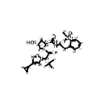 CC(C)(C)[C@@H](C(=O)N1C[C@H](O)C[C@H]1C(=O)NCCc1ccccc1S(C)(=O)=O)n1cc(C2CC2)nn1